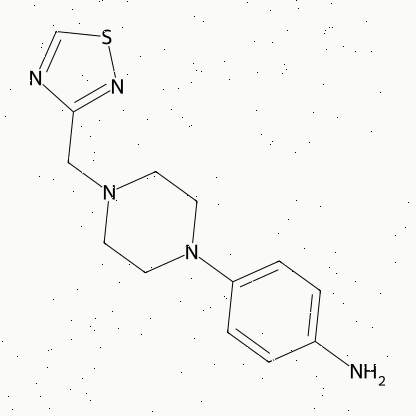 Nc1ccc(N2CCN(Cc3ncsn3)CC2)cc1